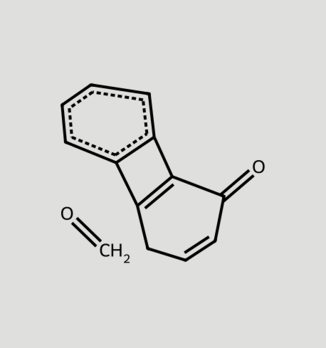 C=O.O=C1C=CCC2=C1c1ccccc12